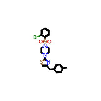 Cc1ccc(Cc2csc(N3CCN(S(=O)(=O)c4ccccc4Br)CC3)n2)cc1